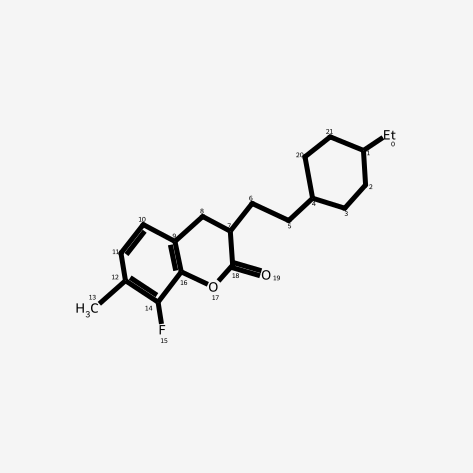 CCC1CCC(CCC2Cc3ccc(C)c(F)c3OC2=O)CC1